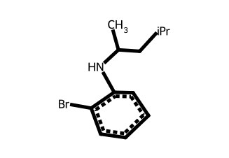 CC(C)CC(C)Nc1ccccc1Br